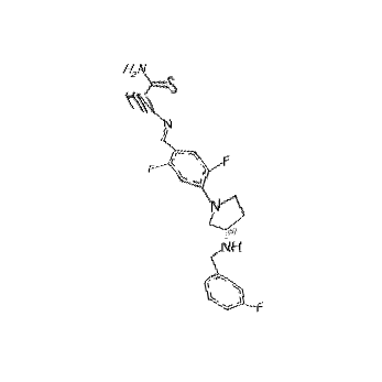 NC(=S)NN=Cc1cc(F)c(N2CC[C@H](NCc3cccc(F)c3)C2)cc1F